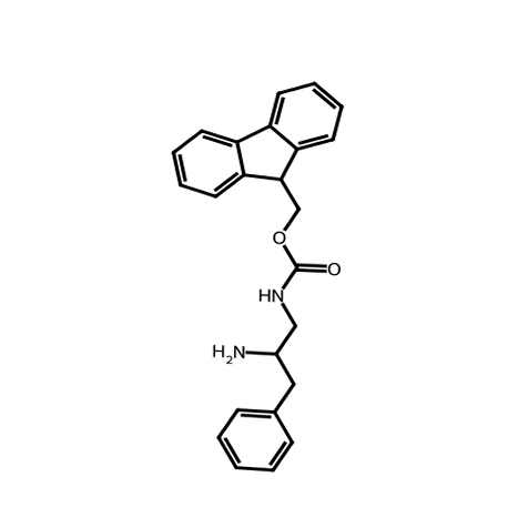 NC(CNC(=O)OCC1c2ccccc2-c2ccccc21)Cc1ccccc1